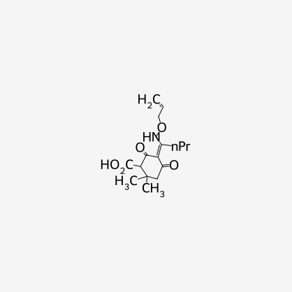 C=CCONC(CCC)=C1C(=O)CC(C)(C)C(C(=O)O)C1=O